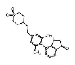 Cc1cc(CCC2CCS(=O)(=O)CC2)cc(C)c1-c1cccc2c1CCC2=O